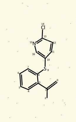 C=C(C)c1ccccc1Sc1ccc(Cl)nc1